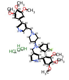 COc1cc(-c2cncc(CN3CCC(N(Cc4ccnc(-c5cc(OC)c(OC)c(OC)c5)c4)c4ccc(F)cc4)CC3)c2)cc(OC)c1OC.Cl.Cl.Cl